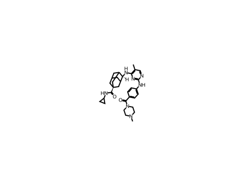 Cc1cnc(Nc2ccc(C(=O)N3CCN(C)CC3)cc2)nc1N[C@H]1C2CC3CC1C[C@@](C(=O)NC1CC1)(C3)C2